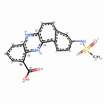 CS(=O)(=O)Nc1ccc2c(ccc3nc4cccc(C(=O)O)c4nc32)c1